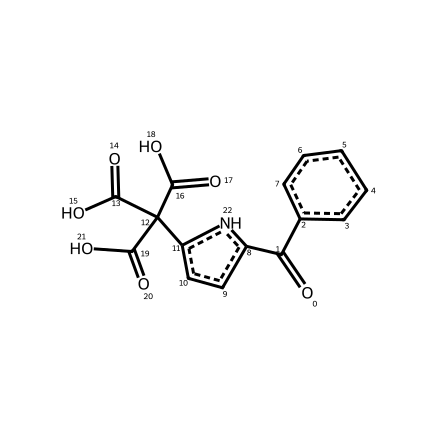 O=C(c1ccccc1)c1ccc(C(C(=O)O)(C(=O)O)C(=O)O)[nH]1